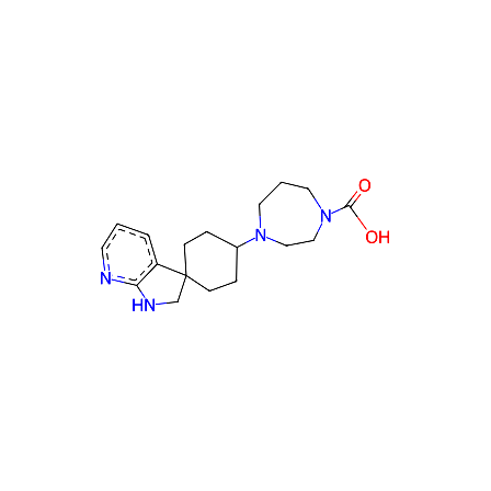 O=C(O)N1CCCN(C2CCC3(CC2)CNc2ncccc23)CC1